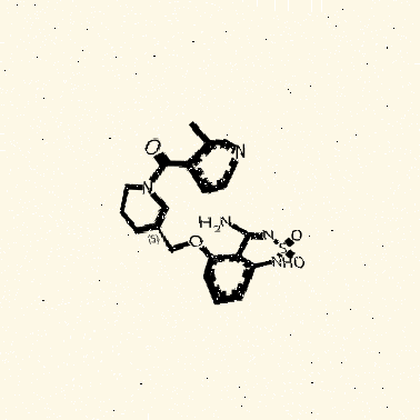 Cc1cnccc1C(=O)N1CCC[C@H](COc2cccc3c2C(N)=NS(=O)(=O)N3)C1